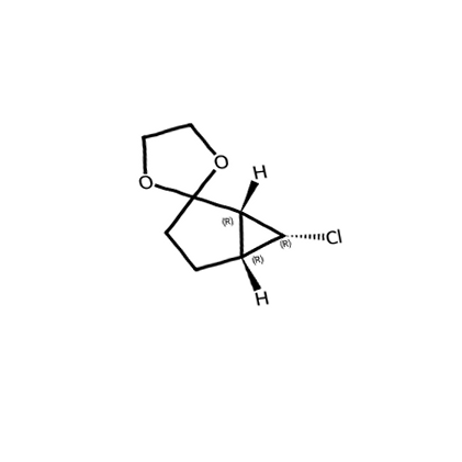 Cl[C@@H]1[C@@H]2CCC3(OCCO3)[C@H]12